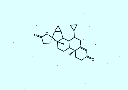 C[C@]12CCC3C(C(C4CC4)CC4=CC(=O)CC[C@@H]43)C1C1CC1[C@@]21CCC(=O)O1